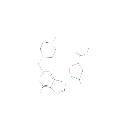 CCNC(=O)[C@H]1O[C@@H](n2cnc3c(N)nc(CN4CCN(C(C)=O)CC4)nc32)C(O)[C@H]1O